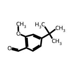 COc1cc(C(C)(C)C)ccc1C=O